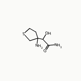 NC(=O)C(O)C1(N)CCSC1